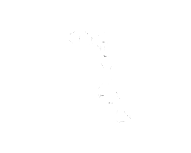 O=C(Nc1ccc(F)cc1)C1(C(=O)Nc2ccc(Oc3ccnc4cc(-c5cncnc5)ncc34)c(F)c2)CC1